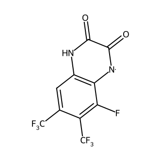 O=C1[N]c2c(cc(C(F)(F)F)c(C(F)(F)F)c2F)NC1=O